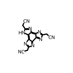 N#CCC1=Nc2c(c3c(c4[nH]c(CC#N)nc24)N=C(CC#N)N=3)=N1